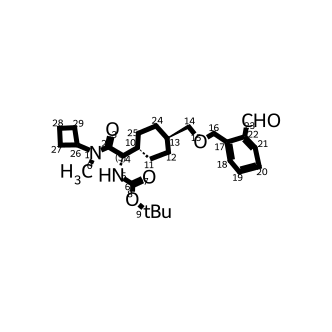 CN(C(=O)[C@@H](NC(=O)OC(C)(C)C)[C@H]1CC[C@H](COCc2ccccc2C=O)CC1)C1CCC1